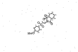 COc1ccc(S(=O)(=O)/C=C/N2C(=O)c3ccccc3S2(=O)=O)cc1